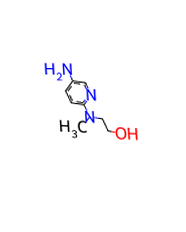 CN(CCO)c1ccc(N)cn1